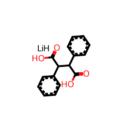 O=C(O)C(c1ccccc1)C(C(=O)O)c1ccccc1.[LiH]